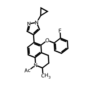 CC(=O)N1c2ccc(-c3cnn(C4CC4)c3)c(Oc3ccccc3F)c2CCC1C